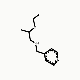 CCOC(C)CNCc1ccncc1